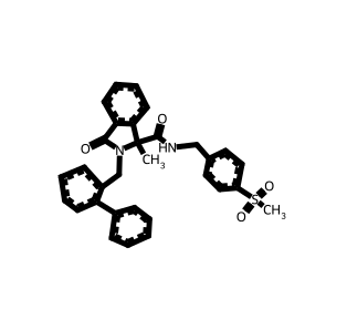 CC1(C(=O)NCc2ccc(S(C)(=O)=O)cc2)c2ccccc2C(=O)N1Cc1ccccc1-c1ccccc1